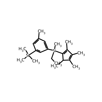 CC[Si](C)(C1=C(C)C(C)=C(C)C1C)c1cc(C)cc([Si](C)(C)C)c1